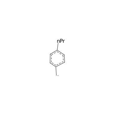 [CH2]CCc1ccc([CH2])cc1